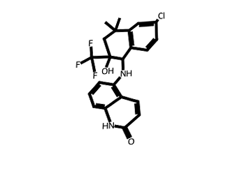 CC1(C)CC(O)(C(F)(F)F)C(Nc2cccc3[nH]c(=O)ccc23)c2ccc(Cl)cc21